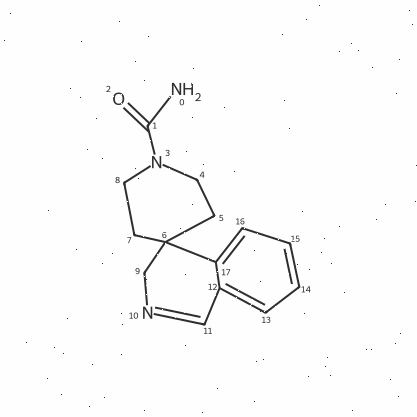 NC(=O)N1CCC2(CC1)CN=Cc1ccccc12